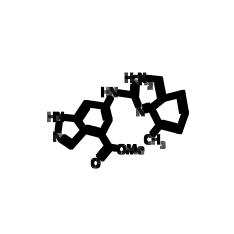 C=C(/N=C1/C(C)=CC=C/C1=C/N)Nc1cc(C(=O)OC)c2cn[nH]c2c1